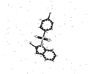 Cc1ccc(S(=O)(=O)n2c(C)cc3ccccc32)cc1